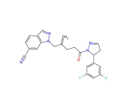 C=C(CCC(=O)N1N=CCC1c1cc(F)cc(F)c1)Cn1ncc2ccc(C#N)cc21